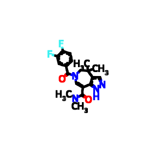 CN(C)C(=O)C1=CN(C(=O)c2ccc(F)c(F)c2)CC(C)(C)c2cn[nH]c21